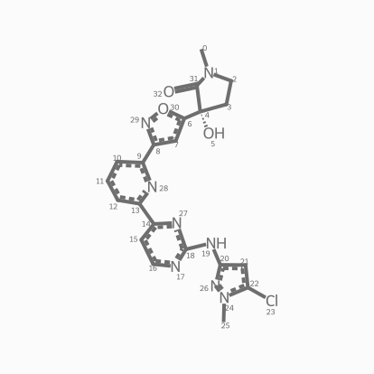 CN1CC[C@@](O)(c2cc(-c3cccc(-c4ccnc(Nc5cc(Cl)n(C)n5)n4)n3)no2)C1=O